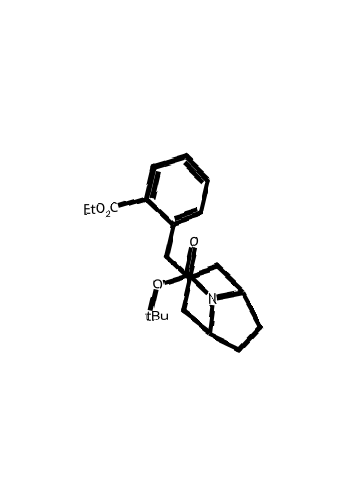 CCOC(=O)c1ccccc1CC1CC2CCC(C1)N2C(=O)OC(C)(C)C